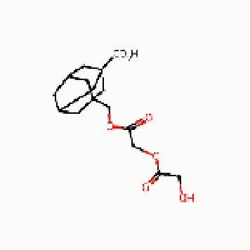 O=C(CO)OCC(=O)OCC12CC3CC(C1)CC(C(=O)O)(C3)C2